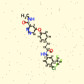 CNC(=O)c1cc(Oc2ccc(CCC(=O)Nc3ccc(Cl)c(C(F)(F)F)c3)cc2)cnn1